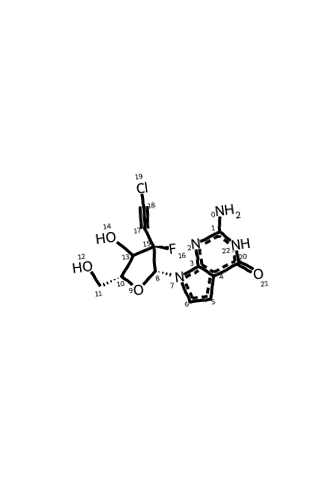 Nc1nc2c(ccn2[C@@H]2O[C@H](CO)C(O)[C@]2(F)C#CCl)c(=O)[nH]1